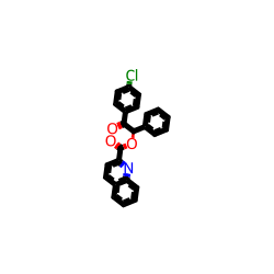 O=C(O[C@@H](C(=O)c1ccc(Cl)cc1)c1ccccc1)c1ccc2ccccc2n1